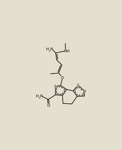 CN/C(N)=C\C=C(/C)Oc1sc(C(N)=O)c2c1-c1sncc1CC2